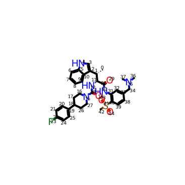 C[C@@H](c1c[nH]c2ccccc12)[C@@H](NC(=O)N1CCC(c2ccc(F)cc2)CC1)C(=O)Nc1cc(CN(C)C)ccc1S(C)(=O)=O